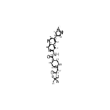 Cn1cc(-c2cnc3cnc(NC(=O)C4CCN(CC(=O)OC(C)(C)C)CC4)cc3c2)cn1